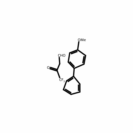 COc1ccc(-c2ccccc2)cc1.O=CCC(=O)C(F)(F)F